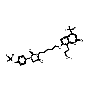 CCCc1c(OCCCCCN2C(=O)CN(c3ccc(OC(F)(F)F)cc3)C2=O)ccc2c(C(F)(F)F)cc(=O)oc12